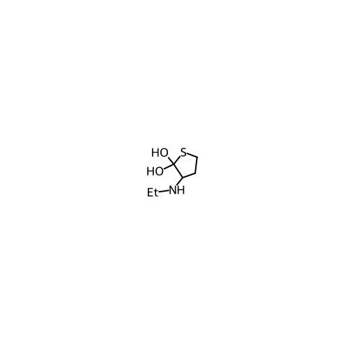 [CH2]CNC1CCSC1(O)O